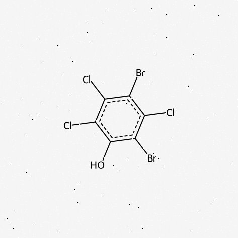 Oc1c(Cl)c(Cl)c(Br)c(Cl)c1Br